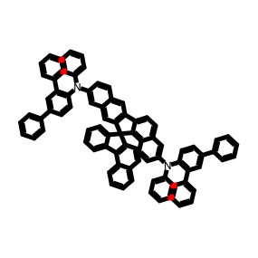 c1ccc(-c2ccc(N(c3ccccc3)c3ccc4cc5c(cc4c3)C3(c4ccccc4-c4c3ccc3ccccc43)c3c-5ccc4cc(N(c5ccccc5)c5ccc(-c6ccccc6)cc5-c5ccccc5)ccc34)c(-c3ccccc3)c2)cc1